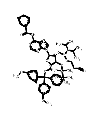 COc1ccc(C(OC[C@H]2OC(n3cnc4c(NC(=O)c5ccccc5)ncnc43)[C@H](OP(OCCC#N)N(C(C)C)C(C)C)C2O[Si](C)(C)C(C)(C)C)(c2ccccc2)c2ccc(OC)cc2)cc1